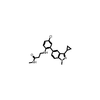 CNC(=O)CCNc1ccc(Cl)cc1-c1ccc2c(c1)c(C1CC1)nn2C